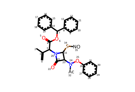 C=C(C)C(C(=O)OC(c1ccccc1)c1ccccc1)N1C(=O)C(N(Oc2ccccc2)C(C)=O)C1SN=O